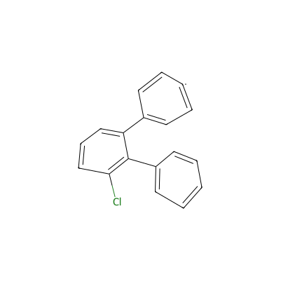 Clc1cccc(-c2cc[c]cc2)c1-c1ccccc1